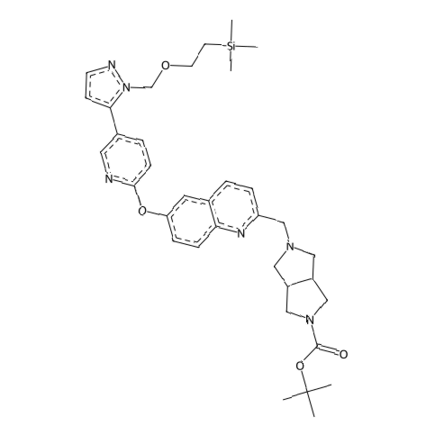 CC(C)(C)OC(=O)N1CC2CN(Cc3ccc4cc(Oc5ccc(-c6ccnn6COCC[Si](C)(C)C)cn5)ccc4n3)CC2C1